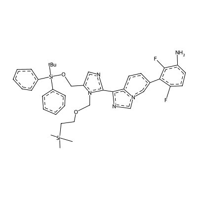 CC(C)(C)[Si](OCc1cnc(-c2ncn3cc(-c4c(F)ccc(N)c4F)ccc23)n1COCC[Si](C)(C)C)(c1ccccc1)c1ccccc1